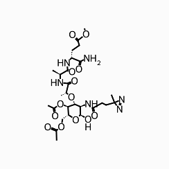 COC(=O)CC[C@@H](NC(=O)[C@H](C)NC(=O)[C@@H](C)O[C@@H]1[C@@H](NC(=O)CCC2(C)N=N2)[C@@H](O)O[C@H](COC(C)=O)[C@H]1OC(C)=O)C(N)=O